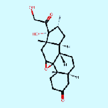 C[C@@H]1C[C@H]2[C@@H]3CC[C@H]4CC(=O)CC[C@]4(C)C34OC4C[C@]2(C)[C@@]1(O)C(=O)CO